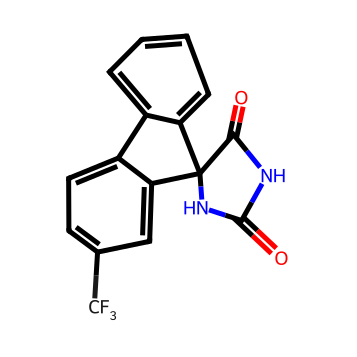 O=C1NC(=O)C2(N1)c1ccccc1-c1ccc(C(F)(F)F)cc12